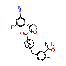 Cc1ccc(CC23CCC(C(=O)N4OCC[C@H]4c4cc(F)cc(C#N)c4)(CC2)CC3)cc1C(N)=O